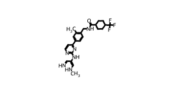 CN/C=C(\C=N)Nc1nccc(-c2ccc(CNC(=O)C3CCC(C(F)(F)F)CC3)c(C)c2)n1